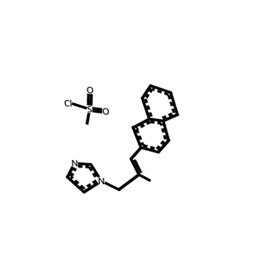 C/C(=C\c1ccc2ccccc2c1)Cn1ccnc1.CS(=O)(=O)Cl